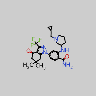 CC1(C)CC(=O)c2c(C(F)(F)F)nn(-c3ccc(C(N)=O)c(NC4CCCN(CC5CC5)C4)c3)c2C1